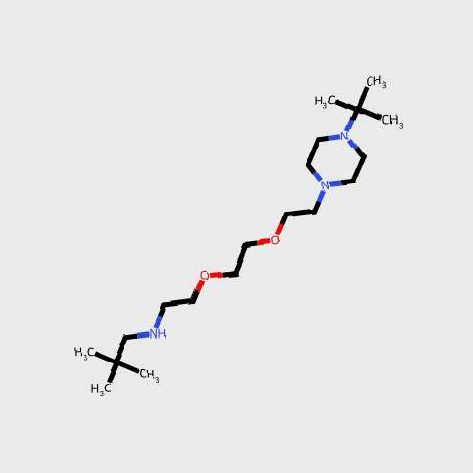 CC(C)(C)CNCCOCCOCCN1CCN(C(C)(C)C)CC1